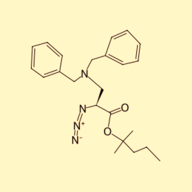 CCCC(C)(C)OC(=O)[C@H](CN(Cc1ccccc1)Cc1ccccc1)N=[N+]=[N-]